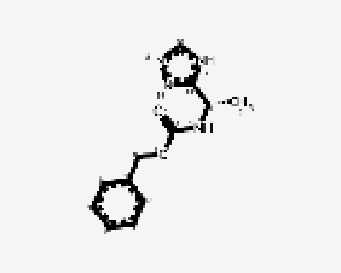 C[C@H](NC(=O)OCc1ccccc1)c1nnc[nH]1